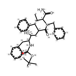 CC(C)C(C(N)=O)N(Cc1ccccn1)C(=O)C(Cc1ccccc1)CC(O)C(Cc1ccccc1)NC(=O)OC(C)(C)C